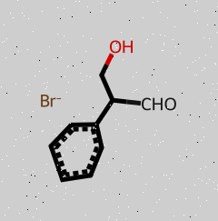 O=[C+]C(CO)c1ccccc1.[Br-]